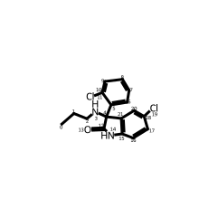 CCCNC1(c2ccccc2Cl)C(=O)Nc2ccc(Cl)cc21